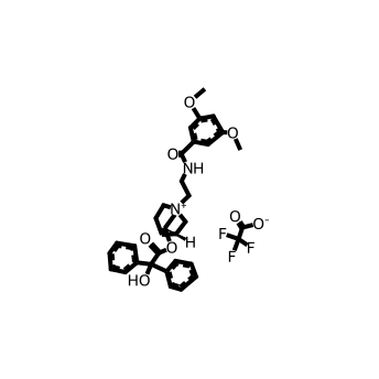 COc1cc(OC)cc(C(=O)NCC[N+]23CCC(CC2)[C@@H](OC(=O)C(O)(c2ccccc2)c2ccccc2)C3)c1.O=C([O-])C(F)(F)F